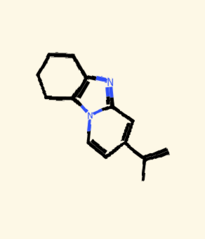 C=C(C)c1ccn2c3c(nc2c1)CCCC3